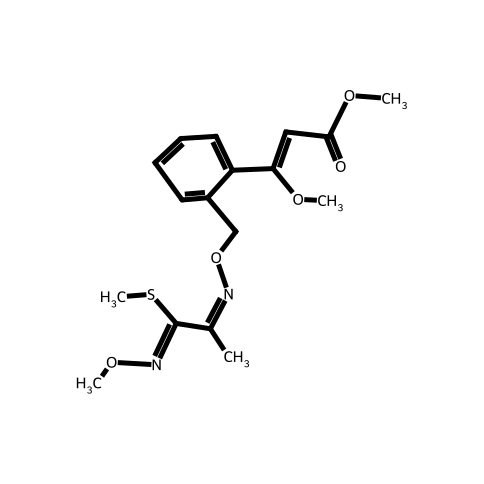 CON=C(SC)C(C)=NOCc1ccccc1C(=CC(=O)OC)OC